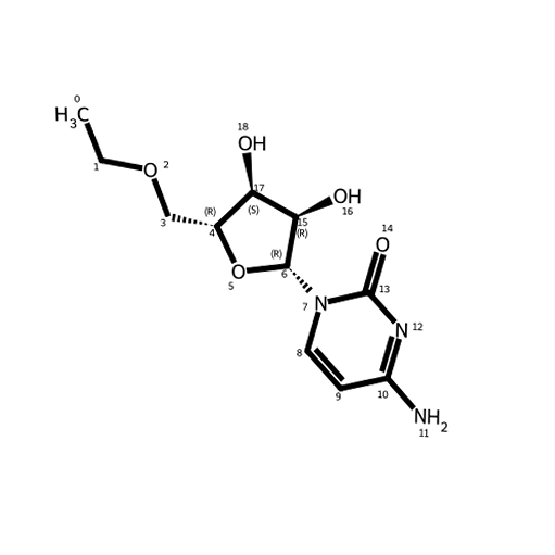 CCOC[C@H]1O[C@@H](n2ccc(N)nc2=O)[C@H](O)[C@@H]1O